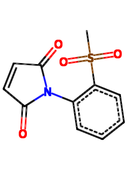 CS(=O)(=O)c1ccccc1N1C(=O)C=CC1=O